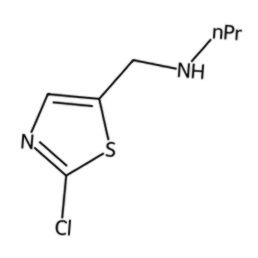 CCCNCc1cnc(Cl)s1